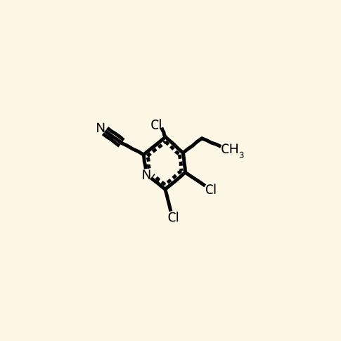 CCc1c(Cl)c(Cl)nc(C#N)c1Cl